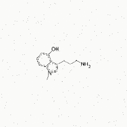 Cn1cc(CCCN)c2c(O)cccc21